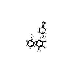 Cc1[c]([Fe])ccc(C(=O)O)c1C.Oc1ccccc1.Oc1ccccc1